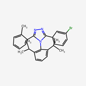 Cc1ccccc1-c1nnc(-c2cccc(Br)c2)n1-c1c(C(C)C)cccc1C(C)C